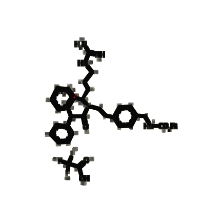 CCOC(=O)NCc1ccc(CCN(C(=O)C(c2ccccc2)c2ccccc2)[C@H](CCCNC(=N)N)C(N)=O)cc1.O=C(O)C(F)(F)F